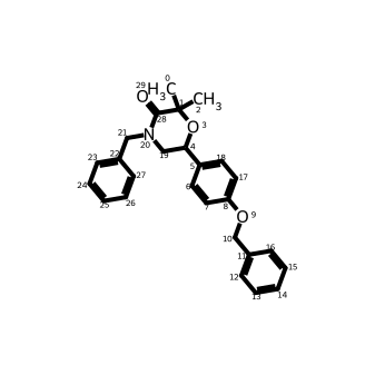 CC1(C)OC(c2ccc(OCc3ccccc3)cc2)CN(Cc2ccccc2)C1=O